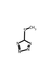 CSC1N=NN=N1